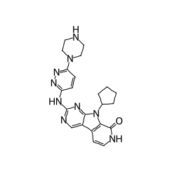 O=c1[nH]ccc2c3cnc(Nc4ccc(N5CCNCC5)nn4)nc3n(C3CCCC3)c12